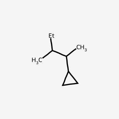 CCC(C)C(C)[C]1CC1